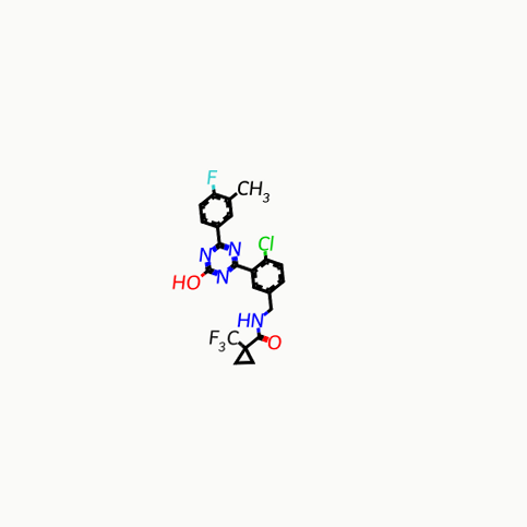 Cc1cc(-c2nc(O)nc(-c3cc(CNC(=O)C4(C(F)(F)F)CC4)ccc3Cl)n2)ccc1F